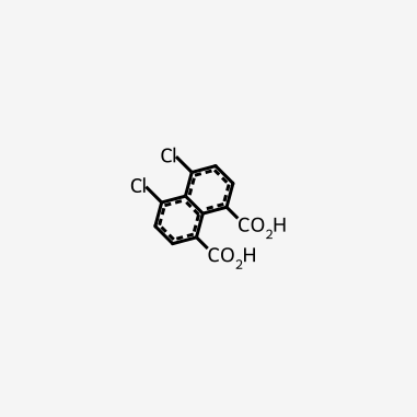 O=C(O)c1ccc(Cl)c2c(Cl)ccc(C(=O)O)c12